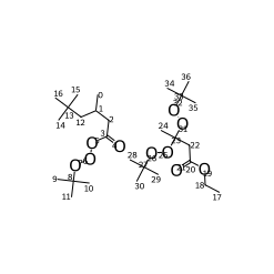 CC(CC(=O)OOOC(C)(C)C)CC(C)(C)C.CCOC(=O)CC(C)(OOC(C)(C)C)OOC(C)(C)C